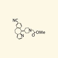 COC(=O)CN1CCC(=C2c3ccc(C#N)cc3CCc3cccnc32)CC1